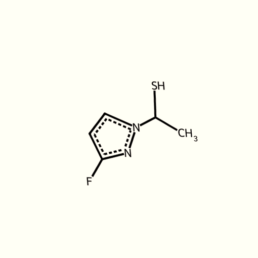 CC(S)n1ccc(F)n1